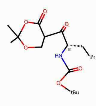 CC(C)C[C@H](NC(=O)OC(C)(C)C)C(=O)C1COC(C)(C)OC1=O